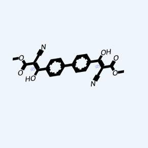 COC(=O)/C(C#N)=C(\O)c1ccc(-c2ccc(/C(O)=C(\C#N)C(=O)OC)cc2)cc1